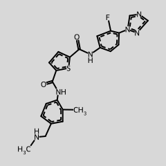 CNCc1ccc(NC(=O)c2ccc(C(=O)Nc3ccc(-n4cncn4)c(F)c3)s2)c(C)c1